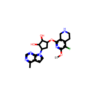 CCOc1nc(OC2CC(n3ccc4c(C)ncnc43)C(O)C2O)c2c(c1F)CCNC2